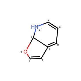 [C]1=C2C=COC2NC=C1